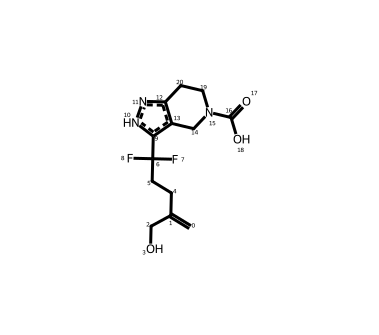 C=C(CO)CCC(F)(F)c1[nH]nc2c1CN(C(=O)O)CC2